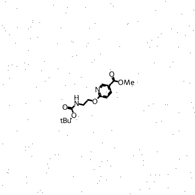 COC(=O)c1ccc(OCCNC(=O)OC(C)(C)C)nc1